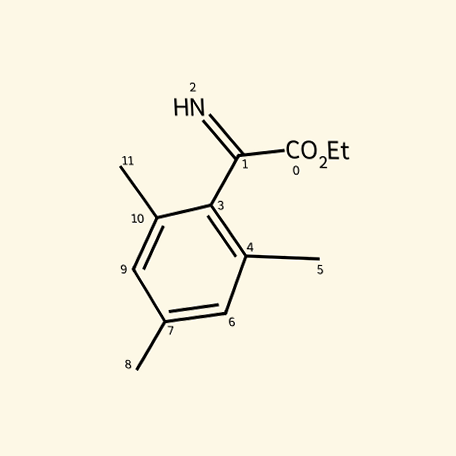 CCOC(=O)C(=N)c1c(C)cc(C)cc1C